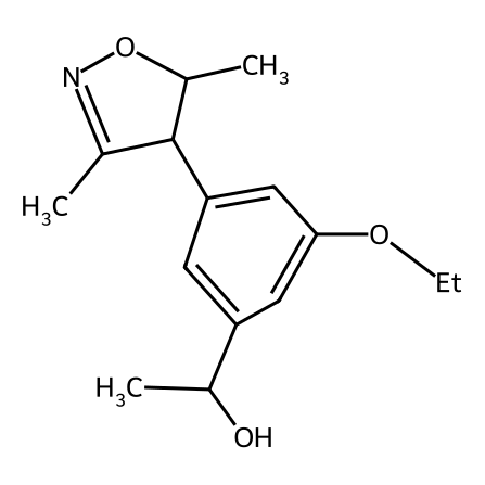 CCOc1cc(C(C)O)cc(C2C(C)=NOC2C)c1